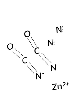 [N-]=C=O.[N-]=C=O.[N].[N].[Zn+2]